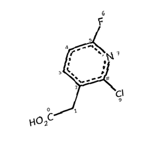 O=C(O)Cc1ccc(F)nc1Cl